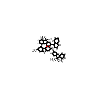 CC(C)(C)c1ccc2c(c1)sc1cc(N(c3ccc4c(c3)-c3ccccc3C4(C)C)c3ccc4ccccc4c3-c3ccc4c(c3)C(C)(C)c3ccccc3-4)ccc12